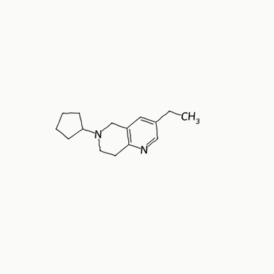 CCc1cnc2c(c1)CN(C1CCCC1)CC2